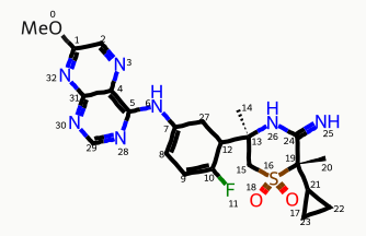 COc1cnc2c(NC3=CC=C(F)C([C@]4(C)CS(=O)(=O)[C@@](C)(C5CC5)C(=N)N4)C3)ncnc2n1